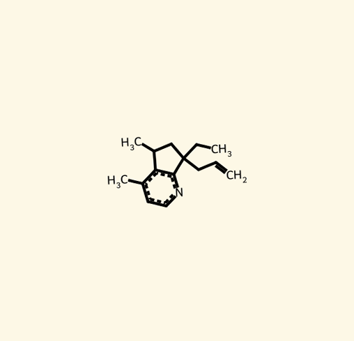 C=CCC1(CC)CC(C)c2c(C)ccnc21